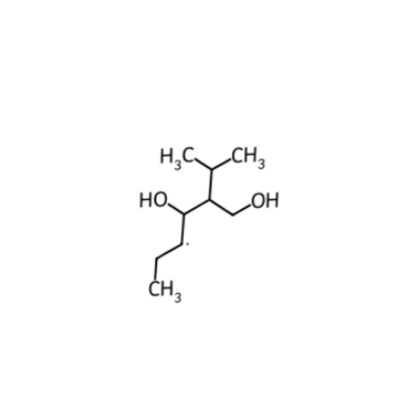 CC[CH]C(O)C(CO)C(C)C